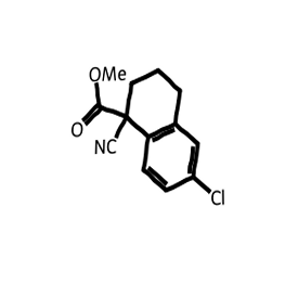 COC(=O)C1(C#N)CCCc2cc(Cl)ccc21